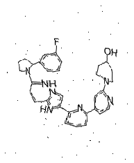 N=C(/C=C\c1ncc(-c2cccc(-c3ccnc(N4CCC(O)CC4)c3)n2)[nH]1)N1CCCC1c1cccc(F)c1